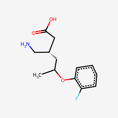 CC(C[C@H](CN)CC(=O)O)Oc1ccccc1F